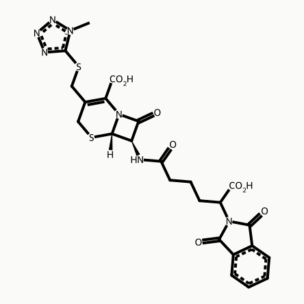 Cn1nnnc1SCC1=C(C(=O)O)N2C(=O)[C@@H](NC(=O)CCCC(C(=O)O)N3C(=O)c4ccccc4C3=O)[C@@H]2SC1